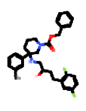 CC(C)(C)c1cccc(C2(NCC(O)CCc3cc(F)ccc3F)CCCN(C(=O)OCc3ccccc3)C2)c1